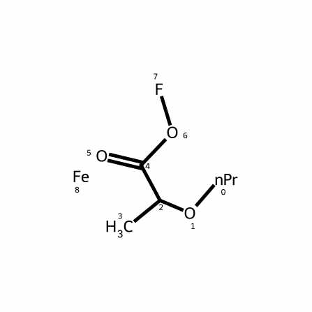 CCCOC(C)C(=O)OF.[Fe]